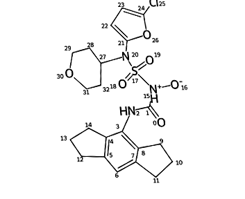 O=C(Nc1c2c(cc3c1CCC3)CCC2)[NH+]([O-])S(=O)(=O)N(c1ccc(Cl)o1)C1CCOCC1